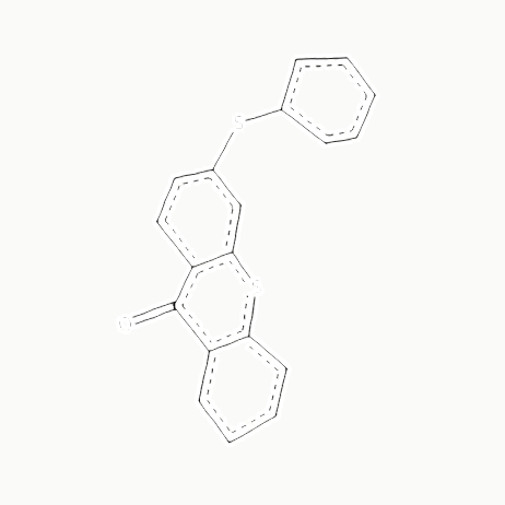 O=c1c2ccccc2sc2cc(Sc3ccccc3)ccc12